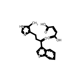 Cc1[nH]cnc1CCC(=O)c1csc2ccccc12.O=C(O)/C=C\C(=O)O